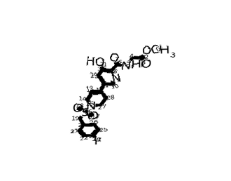 COC(=O)CNC(=O)c1ncc(C2=CCN(S(=O)(=O)Cc3ccc(F)cc3)CC2)cc1O